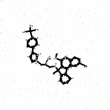 COc1nc2ccc(Br)cc2c2c1C(C)(OC[C@H](O)Cn1ccc(-c3ccc(C(F)(F)F)cc3)n1)c1ccccc1-2